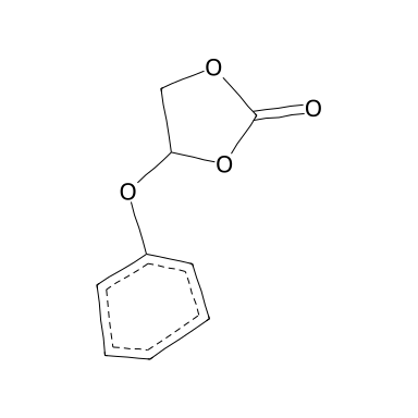 O=C1OCC(Oc2ccccc2)O1